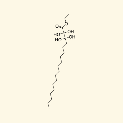 CCCCCCCCCCCCCCCC(O)(O)C(O)(O)C(=O)OCC